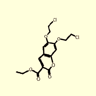 CCOC(=O)c1cc2cc(OCCCl)c(OCCCl)cc2oc1=O